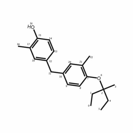 CCC(C)(CC)Oc1ccc(Cc2ccc(O)c(C)c2)cc1C